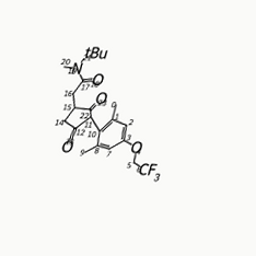 Cc1cc(OCC(F)(F)F)cc(C)c1C1C(=O)CC(CC(=O)N(C)C(C)(C)C)C1=O